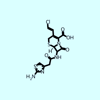 Nc1nc(CC(=O)NC2C(=O)N3C(C(=O)O)=C(/C=C/Cl)CS[C@H]23)cs1